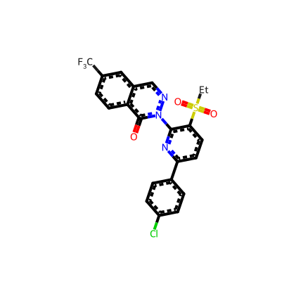 CCS(=O)(=O)c1ccc(-c2ccc(Cl)cc2)nc1-n1ncc2cc(C(F)(F)F)ccc2c1=O